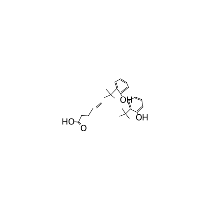 C=C.CC(C)(C)c1ccccc1O.CC(C)(C)c1ccccc1O.CCCC(=O)O